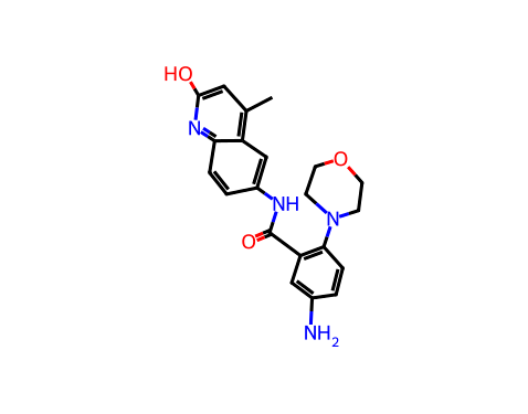 Cc1cc(O)nc2ccc(NC(=O)c3cc(N)ccc3N3CCOCC3)cc12